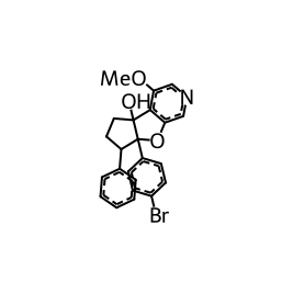 COc1cncc2c1C1(O)CCC(c3ccccc3)C1(c1ccc(Br)cc1)O2